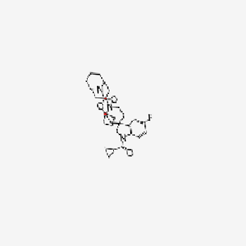 O=C(C1CC1)N1CC2(CCN(C3CC4CCCC(C3)N4C(=O)OC3CCC3)CC2)c2cc(F)ccc21